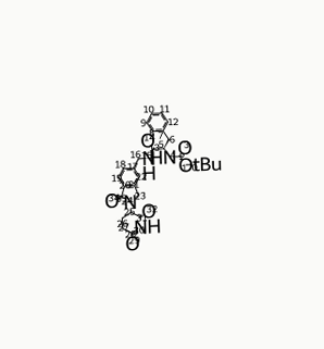 CC(C)(C)OC(=O)N[C@H](Cc1ccccc1)C(=O)NCc1ccc2c(c1)CN(C1CCC(=O)NC1=O)C2=O